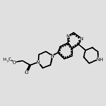 COCC(=O)N1CCN(c2ccc3c(C4CCNCC4)ncnc3c2)CC1